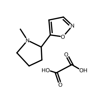 CN1CCCC1c1ccno1.O=C(O)C(=O)O